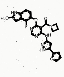 Cc1cc2c(F)c(Oc3ncnc(Nc4cc(-c5ccco5)[nH]n4)c3C(=O)N3CCC3)ccc2[nH]1